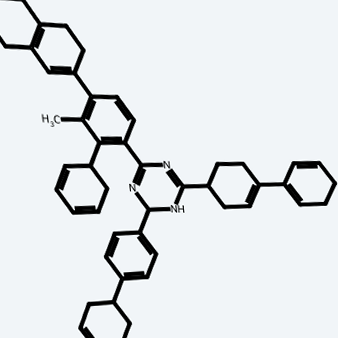 Cc1c(C2=CC3=C(CCCC3)CC2)ccc(C2=NC(c3ccc(C4CC=CCC4)cc3)NC(C3CC=C(C4=CCCC=C4)CC3)=N2)c1C1C=CC=CC1